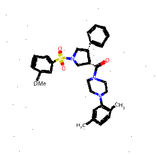 COc1cccc(S(=O)(=O)N2C[C@H](c3ccccc3)[C@H](C(=O)N3CCN(c4cc(C)ccc4C)CC3)C2)c1